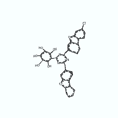 Oc1c(O)c(O)c(-c2nc(-c3ccc4c(c3)oc3ccccc34)nc(-c3ccc4c(c3)oc3cc(Cl)ccc34)n2)c(O)c1O